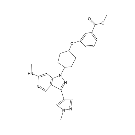 CNc1cc2c(cn1)c(-c1cnn(C)c1)nn2C1CCC(Oc2cccc(C(=O)OC)c2)CC1